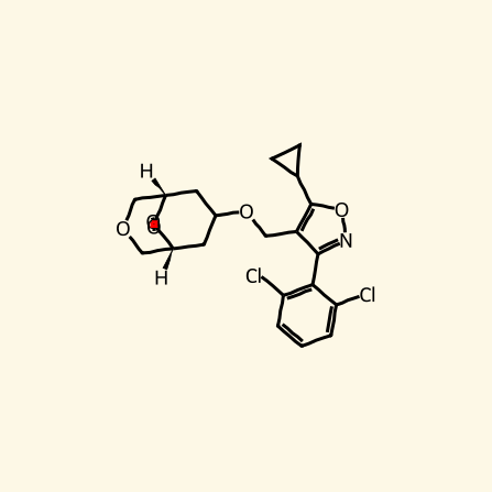 Clc1cccc(Cl)c1-c1noc(C2CC2)c1COC1C[C@H]2COC[C@@H](C1)C21OCCO1